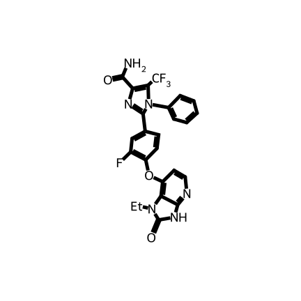 CCn1c(=O)[nH]c2nccc(Oc3ccc(-c4nc(C(N)=O)c(C(F)(F)F)n4-c4ccccc4)cc3F)c21